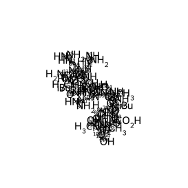 CCC(C)C(NC(=O)C(C)NC(=O)C(CC(N)=O)NC(=O)C(CCCNC(=N)N)NC(=O)C(CCCNC(=N)N)NC(=O)CNC(=O)C(NC(=O)C(CCCNC(=N)N)NC(=O)CNC(=O)C(CO)NC(=O)C(C)NC(=O)C(NC(=O)C(Cc1ccccc1)NC(=O)C(CC(=O)O)NC(=O)C(C)NC(=O)C(Cc1ccc(O)cc1)NC(=O)C(N)C(C)O)C(C)CC)C(C)O)C(N)=O